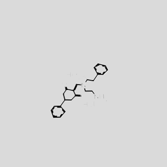 Cl.NCCN(C=C1C(=O)CC(c2ccccc2)CC1=O)[C@@H](Cc1ccccc1)C(=O)O